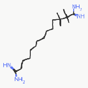 CC(C)(CCCCCCCCCCC(=N)N)C(C)(C)C(=N)N